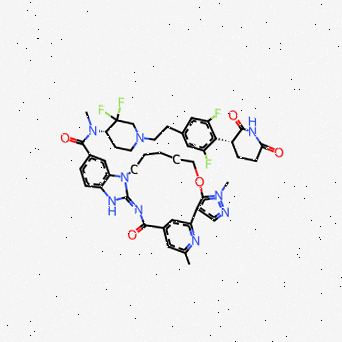 Cc1cc2cc(n1)-c1cnn(C)c1OCCCCCN1/C(=N/C2=O)Nc2ccc(C(=O)N(C)[C@H]3CCN(CCc4cc(F)c([C@H]5CCC(=O)NC5=O)c(F)c4)CC3(F)F)cc21